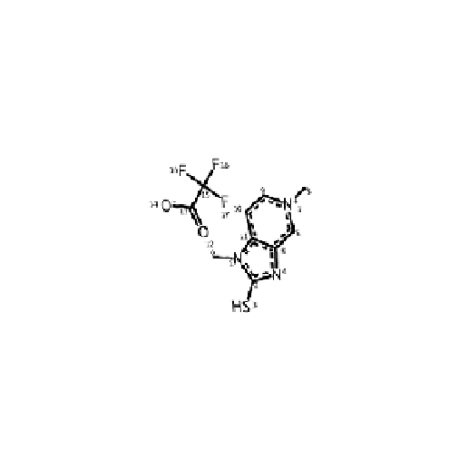 Cn1c(S)nc2c[n+](C)ccc21.O=C([O-])C(F)(F)F